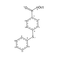 CCCCCCCCC(=O)c1ccc(Sc2ccccc2)cc1